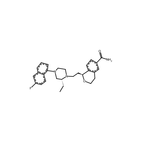 CC[C@@H]1CN(c2cccc3cc(F)ccc23)CCN1CC[C@@H]1OCCc2cc(C(N)=O)ccc21